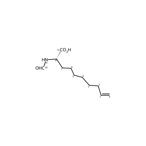 C=CCCCCCC[C@H](NC=O)C(=O)O